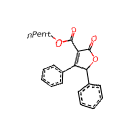 CCCCCOC(=O)C1=C(c2ccccc2)C(c2ccccc2)OC1=O